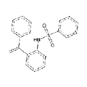 C=C(c1ccccc1)c1ccccc1NS(=O)(=O)c1ccccc1